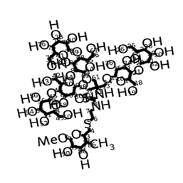 CO[C@H]1OC(CSCCNC(=S)NC(CO[C@@H]2OC(CO)[C@@H](O[C@@H]3OC(CO)[C@H](O)[C@H](O)C3O)[C@H](O)C2O)(CO[C@@H]2OC(CO)[C@@H](O[C@@H]3OC(CO)[C@H](O)[C@H](O)C3O)[C@H](O)C2O)CO[C@@H]2OC(CO)[C@@H](O[C@@H]3OC(CO)[C@H](O)[C@H](O)C3O)[C@H](O)C2O)C(C)[C@H](O)C1O